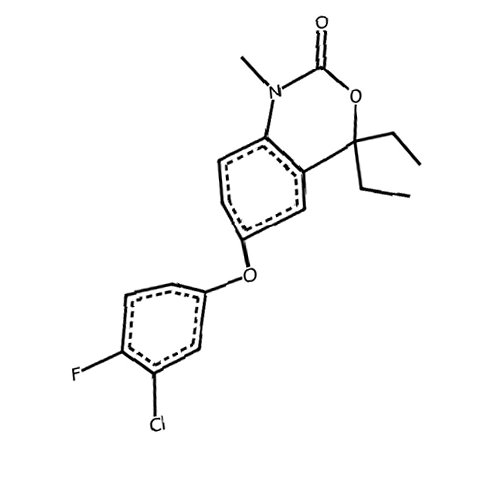 CCC1(CC)OC(=O)N(C)c2ccc(Oc3ccc(F)c(Cl)c3)cc21